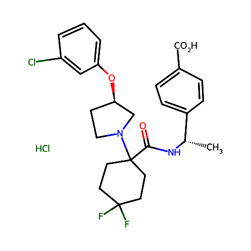 C[C@H](NC(=O)C1(N2CC[C@@H](Oc3cccc(Cl)c3)C2)CCC(F)(F)CC1)c1ccc(C(=O)O)cc1.Cl